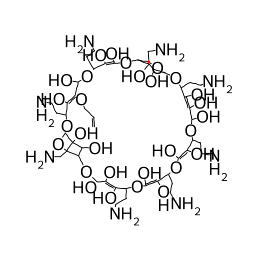 C=CCO/C1=C(/O)C(CCN)OC2OC3(CN)C(OC(O)/C(O)=C(\O)C(CCN)O/C(O)=C(\O)C(CCN)O/C(O)=C(\O)C(CCN)OC(O)/C(O)=C(/O)C(CCN)OC4OC(CN)C(O/C(O)=C(/O)C(CCN)OC1O)C(O)C4O)C(O)C23O